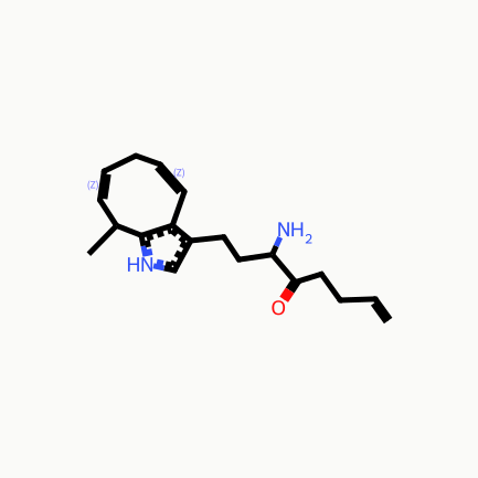 C=CCCC(=O)C(N)CCc1c[nH]c2c1/C=C\C/C=C\C2C